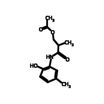 CC(=O)OCC(C)C(=O)Nc1cc(C)ccc1O